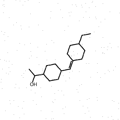 CCC1CCC(=CC2CCC(C(C)O)CC2)CC1